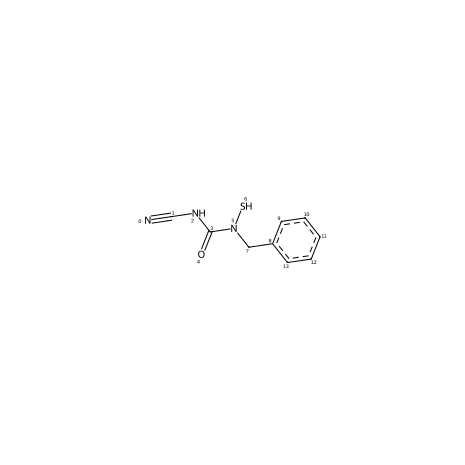 N#CNC(=O)N(S)Cc1ccccc1